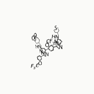 O=S1(=O)CCC(CNc2cc(-c3ccc(-c4cnc5ccc(NCC6CCSCC6)nn45)cc3OC(F)(F)F)c3ncc(-c4cccc(OC(F)(F)F)c4)n3n2)CC1